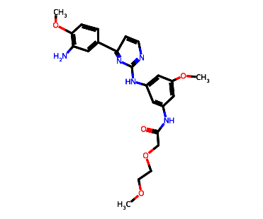 COCCOCC(=O)Nc1cc(Nc2nccc(-c3ccc(OC)c(N)c3)n2)cc(OC)c1